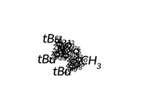 Cc1cc(-c2cccc(-c3c4ccccc4c(N(c4ccc(C(C)(C)C)cc4)c4ccc(C(C)(C)C)cc4)c4ccccc34)c2)c2ccc3cc(C(C)(C)C)cc4ccc1c2c43